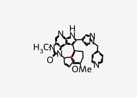 COC1=CC=C(c2c(-c3cnn(Cc4ccncc4)c3)[nH]c3ncc4c(c23)n(C2C=CCC2)c(=O)n4C)CC1